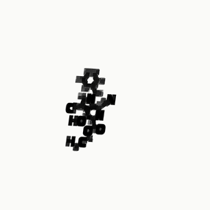 CCOC(=O)c1nc(C#N)c2c(c(Cl)cn2Cc2ccccc2)c1O